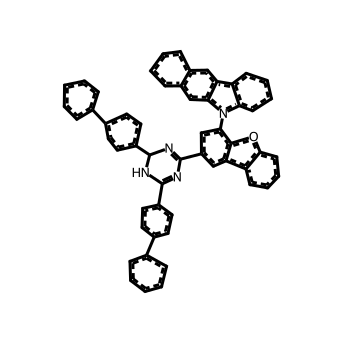 c1ccc(-c2ccc(C3=NC(c4cc(-n5c6ccccc6c6cc7ccccc7cc65)c5oc6ccccc6c5c4)=NC(c4ccc(-c5ccccc5)cc4)N3)cc2)cc1